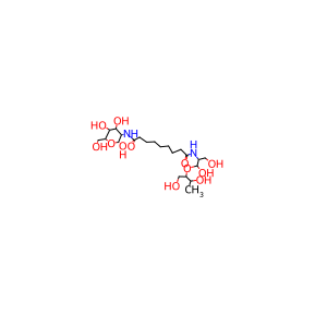 CC(O)C(CO)OC(O)C(CO)NC(=O)CCCCCCCC(=O)NC1C(O)OC(CO)C(O)C1O